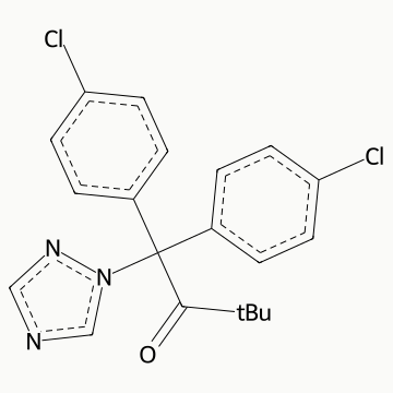 CC(C)(C)C(=O)C(c1ccc(Cl)cc1)(c1ccc(Cl)cc1)n1cncn1